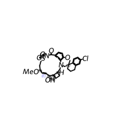 CO[C@@H]1/C=C/[C@H](O)[C@@H]2CC[C@H]2CN2C[C@@]3(CCCc4cc(Cl)ccc43)COc3ccc(cc32)C(=O)NS(=O)(=O)CC1